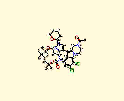 CC(=O)N1CCn2c(c(-c3cnn(C4CCCCO4)c3)c3c(N(CCCO[Si](C)(C)C(C)(C)C)C(=O)OC(C)(C)C)cc(Cl)c(Cl)c32)C1